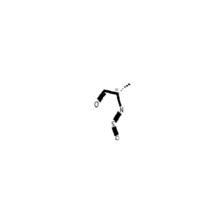 C[C@@H]([C]=O)N=S=O